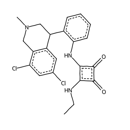 CCNc1c(Nc2ccccc2C2CN(C)Cc3c(Cl)cc(Cl)cc32)c(=O)c1=O